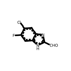 O=Cc1nc2cc(Cl)c(F)cc2[nH]1